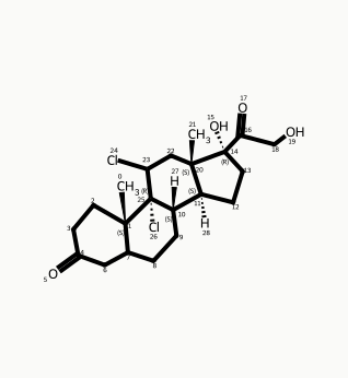 C[C@]12CCC(=O)CC1CC[C@H]1[C@@H]3CC[C@](O)(C(=O)CO)[C@@]3(C)CC(Cl)[C@@]12Cl